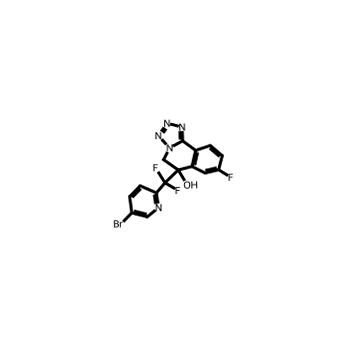 OC1(C(F)(F)c2ccc(Br)cn2)Cn2nnnc2-c2ccc(F)cc21